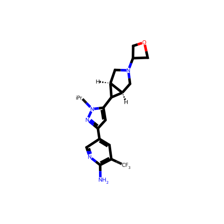 CC(C)n1nc(-c2cnc(N)c(C(F)(F)F)c2)cc1C1[C@H]2CN(C3COC3)C[C@@H]12